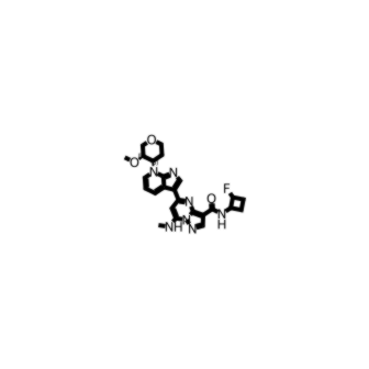 CNc1cc(-c2cnc3n([C@H]4CCOC[C@@H]4OC)cccc2-3)nc2c(C(=O)NC3CCC3F)cnn12